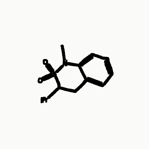 CC(C)C1Cc2ccccc2N(C)S1(=O)=O